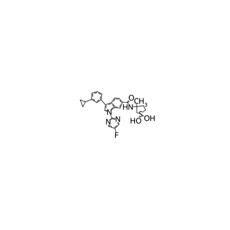 CC1(NC(=O)c2ccc3c(-c4cccc(C5CC5)c4)cn(-c4ncc(F)cn4)c3c2)CCS(O)(O)C1